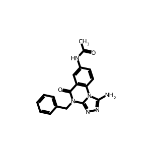 CC(=O)Nc1ccc2c(c1)c(=O)n(Cc1ccccc1)c1nnc(N)n21